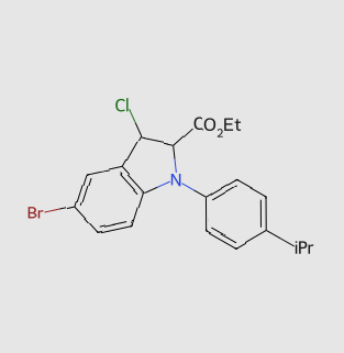 CCOC(=O)C1C(Cl)c2cc(Br)ccc2N1c1ccc(C(C)C)cc1